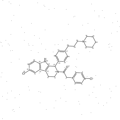 O=C(Cc1ccc(Cl)cc1)N1CCc2c([nH]c3ccc(Cl)cc23)C1c1ccc(CCCN2CCCCC2)cc1